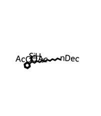 CCCCCCCCCCCCCCCCCCCCCC(c1ccccc1)C([SiH3])(OC(C)=O)OC(C)=O